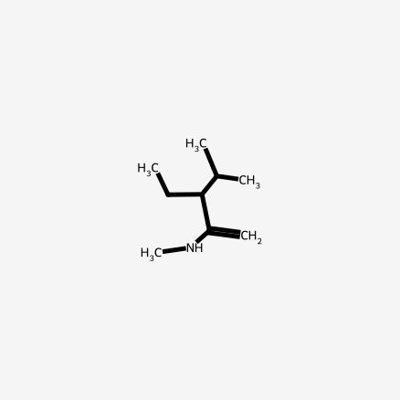 C=C(NC)C(CC)C(C)C